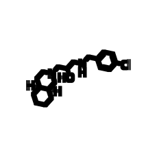 O[C@H](CNCc1ccc(Cl)cc1)CN1CC[C@@H]2CCCC[C@@H]2C1